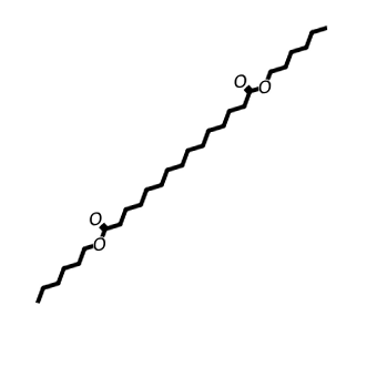 CCCCCCOC(=O)CCCCCCCCCCCCCC(=O)OCCCCCC